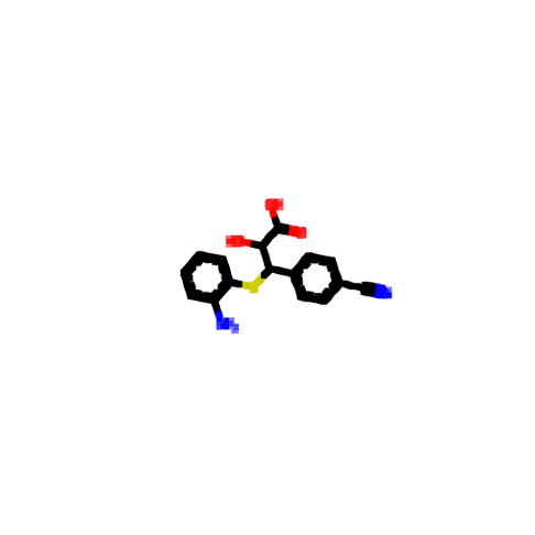 N#Cc1ccc(C(Sc2ccccc2N)C(O)C(=O)O)cc1